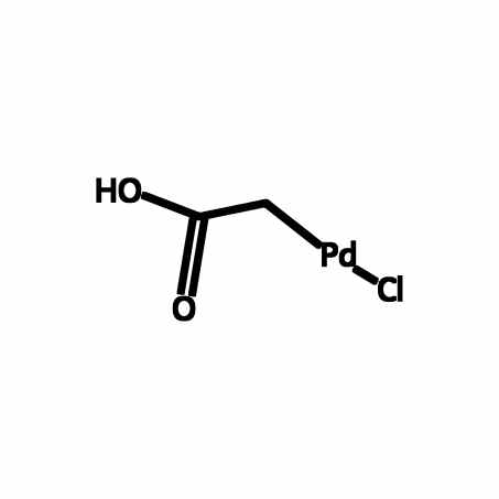 O=C(O)[CH2][Pd][Cl]